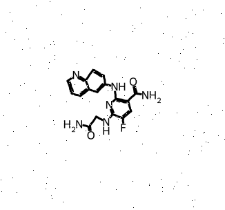 NC(=O)CNc1nc(Nc2ccc3ncccc3c2)c(C(N)=O)cc1F